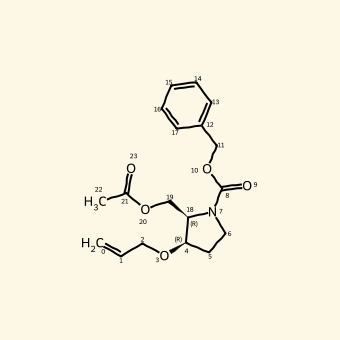 C=CCO[C@@H]1CCN(C(=O)OCc2ccccc2)[C@@H]1COC(C)=O